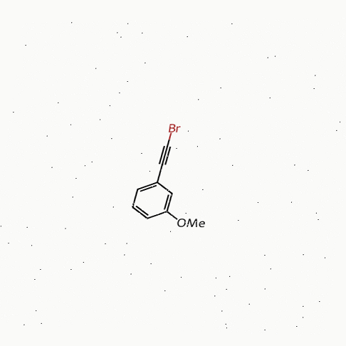 COc1cccc(C#CBr)c1